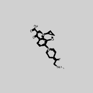 COc1c(N2CCC(=C(F)CN)CC2)ccc2c(=O)c(C(=O)O)cn(C3CC3)c12